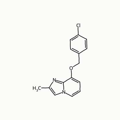 Cc1cn2cccc(OCc3ccc(Cl)cc3)c2n1